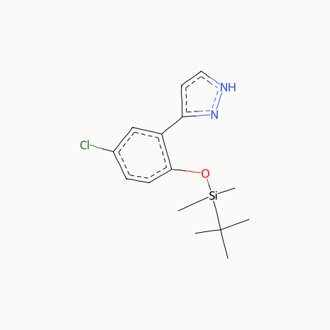 CC(C)(C)[Si](C)(C)Oc1ccc(Cl)cc1-c1cc[nH]n1